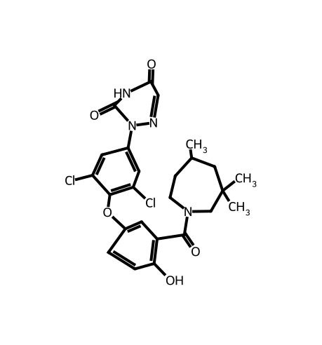 CC1CCN(C(=O)c2cc(Oc3c(Cl)cc(-n4ncc(=O)[nH]c4=O)cc3Cl)ccc2O)CC(C)(C)C1